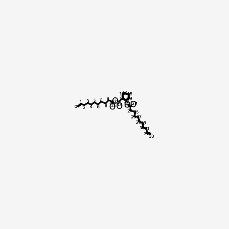 C=CCCCCCCCCC(=O)OC(=O)c1ccccc1OC(=O)CCCCCCCCC=C